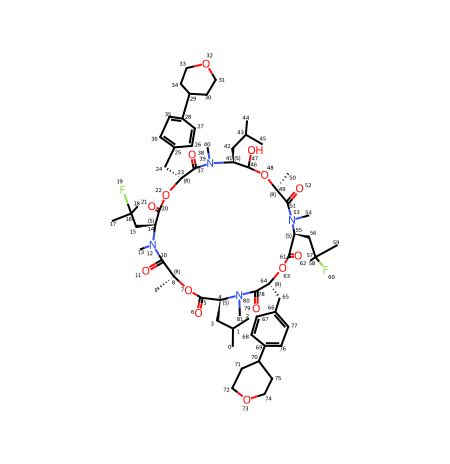 CC(C)C[C@H]1C(=O)O[C@H](C)C(=O)N(C)[C@@H](CC(C)(C)F)C(=O)O[C@H](Cc2ccc(C3CCOCC3)cc2)C(=O)N(C)[C@@H](CC(C)C)C(O)O[C@H](C)C(=O)N(C)[C@@H](CC(C)(C)F)C(=O)O[C@H](Cc2ccc(C3CCOCC3)cc2)C(=O)N1C